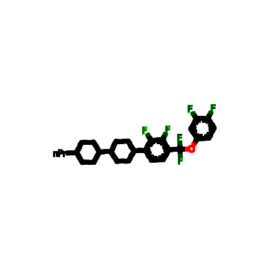 CCCC1CCC(C2CCC(c3ccc(C(F)(F)Oc4ccc(F)c(F)c4)c(F)c3F)CC2)CC1